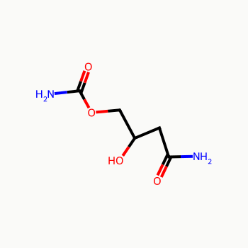 NC(=O)CC(O)COC(N)=O